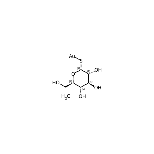 O.OC[C@H]1O[C@H]([S][Au])[C@H](O)[C@@H](O)[C@@H]1O